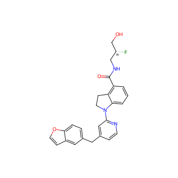 O=C(NC[C@@H](F)CO)c1cccc2c1CCN2c1cc(Cc2ccc3occc3c2)ccn1